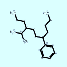 CCCCC(CC[C](CCC)C(C)C)c1ccccc1